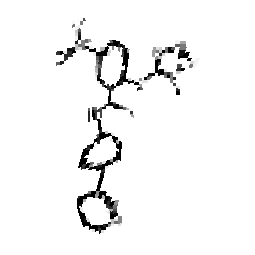 Cn1nnnc1Sc1ccc([N+](=O)[O-])cc1C(=O)Nc1ccc(-c2cccnc2)cc1